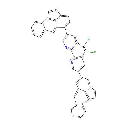 Fc1c(F)c2cc(-c3ccc4c5c(c6ccccc6cc35)C=C4)cnc2c2ncc(-c3cc4c5c(c6ccccc6cc5c3)C=C4)cc12